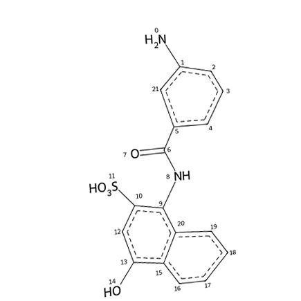 Nc1cccc(C(=O)Nc2c(S(=O)(=O)O)cc(O)c3ccccc23)c1